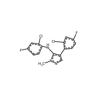 Cn1ncc(-c2ccc(F)cc2Cl)c1Nc1ccc(F)cc1Cl